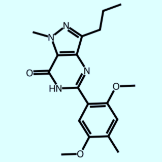 CCCc1nn(C)c2c(=O)[nH]c(-c3cc(OC)c(C)cc3OC)nc12